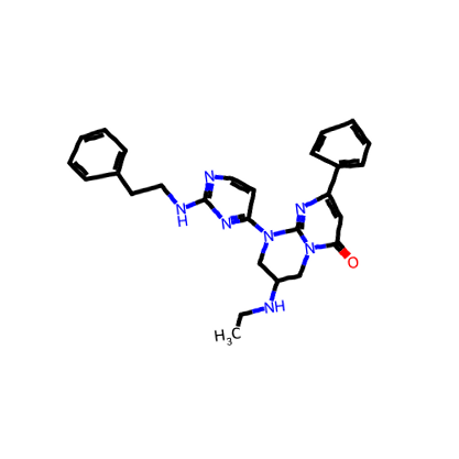 CCNC1CN(c2ccnc(NCCc3ccccc3)n2)c2nc(-c3ccccc3)cc(=O)n2C1